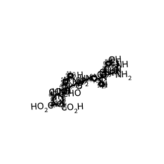 CCNC(=O)/N=C(/N)NCCC[C@@H](NC(=O)C(c1ccccc1)c1ccc(NCCCNC(=O)[C@H](N)CCCNC(=O)[C@@H](Cc2ccc(-c3ccccc3)cc2)NC(C=O)N2CCN(CC(=O)O)CCN(CC(=O)O)CCN(CC(=O)O)CC2)cc1)C(=O)NCc1ccc(O)cc1